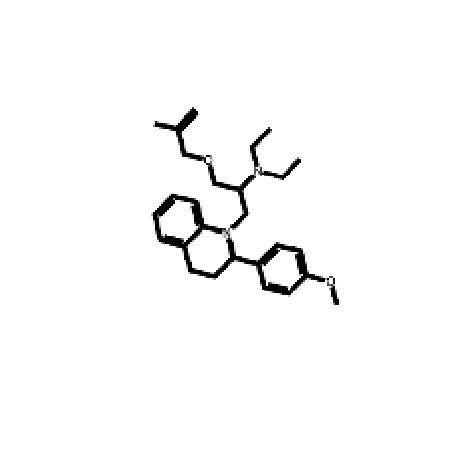 C=C(C)COCC(CN1c2ccccc2CCC1c1ccc(OC)cc1)N(CC)CC